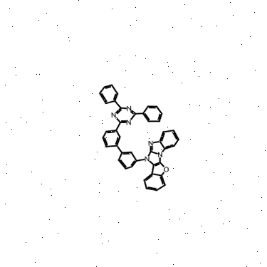 c1ccc(-c2nc(-c3ccccc3)nc(-c3cccc(-c4cccc(-n5c6c7ccccc7oc6n6c7ccccc7nc56)c4)c3)n2)cc1